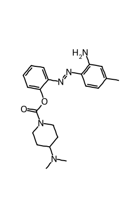 Cc1ccc(/N=N/c2ccccc2OC(=O)N2CCC(N(C)C)CC2)c(N)c1